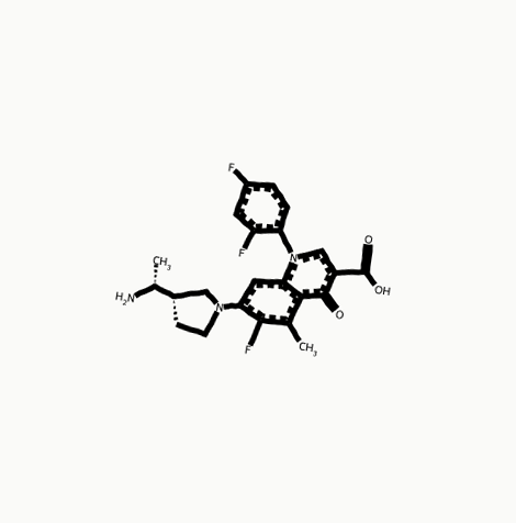 Cc1c(F)c(N2CC[C@H]([C@@H](C)N)C2)cc2c1c(=O)c(C(=O)O)cn2-c1ccc(F)cc1F